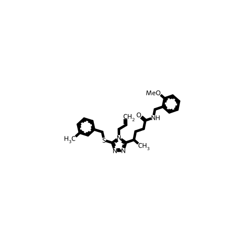 C=CCn1c(SCc2cccc(C)c2)nnc1C(C)CCC(=O)NCc1ccccc1OC